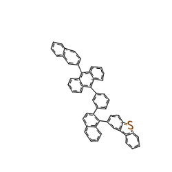 c1cc(-c2ccc3ccccc3c2-c2ccc3sc4ccccc4c3c2)cc(-c2c3ccccc3c(-c3ccc4ccccc4c3)c3ccccc23)c1